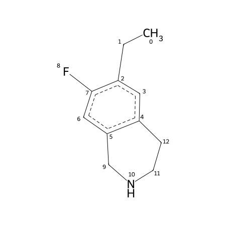 CCc1cc2c(cc1F)CNCC2